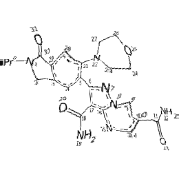 CC(C)N1Cc2cc(-c3nn4cc(C(N)=O)cnc4c3C(N)=O)c(N3CCOCC3)cc2C1=O